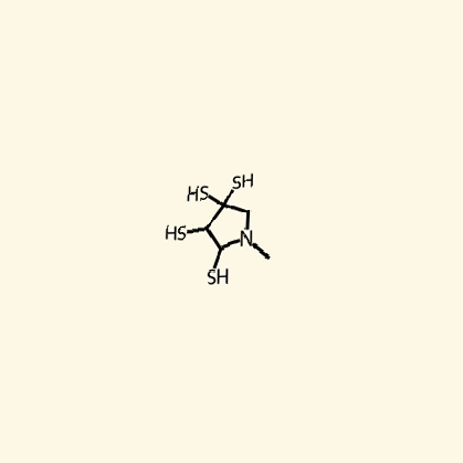 CN1CC(S)(S)C(S)C1S